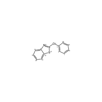 [c]1ccc(Oc2nc3ccccc3s2)cc1